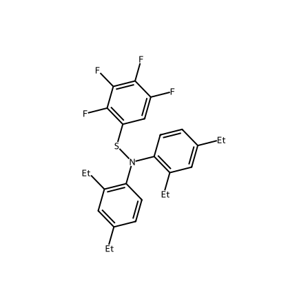 CCc1ccc(N(Sc2cc(F)c(F)c(F)c2F)c2ccc(CC)cc2CC)c(CC)c1